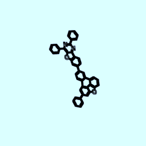 c1ccc(-c2cc3oc4cccc5c6cc(-c7ccc8c(c7)oc7c(-c9ccccc9)nc(-c9ccccc9)nc78)ccc6c(c2)c3c45)cc1